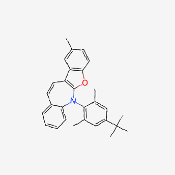 Cc1ccc2oc3c(c2c1)C=Cc1ccccc1N3c1c(C)cc(C(C)(C)C)cc1C